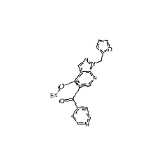 CCOc1c(C(=O)c2ccncc2)cnc2c1cnn2Cc1ccco1